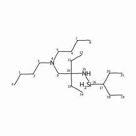 CCCCN(CCCC)CC(CC)(CC)N[SiH2]C(CC)CC